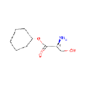 N[C@@H](CO)C(=O)OC1CCCCC1